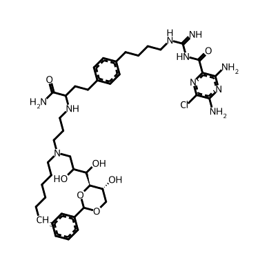 CCCCCCN(CCCNC(CCc1ccc(CCCCNC(=N)NC(=O)c2nc(Cl)c(N)nc2N)cc1)C(N)=O)CC(O)C(O)[C@@H]1OC(c2ccccc2)OC[C@H]1O